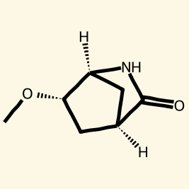 CO[C@H]1C[C@H]2C[C@@H]1NC2=O